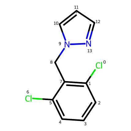 Clc1cccc(Cl)c1Cn1c[c]cn1